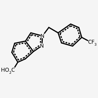 O=C(O)c1ccc2cn(Cc3ccc(C(F)(F)F)cc3)nc2c1